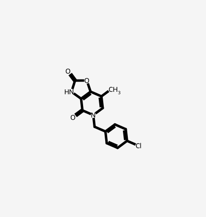 Cc1cn(Cc2ccc(Cl)cc2)c(=O)c2[nH]c(=O)oc12